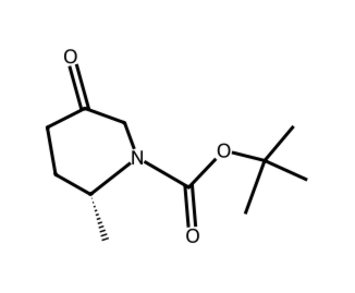 C[C@@H]1CCC(=O)CN1C(=O)OC(C)(C)C